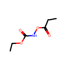 CCOC(=O)NOC(=O)CC